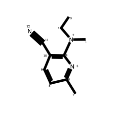 CCN(C)c1nc(C)ccc1C#N